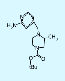 C[C@@H]1CN(C(=O)OC(C)(C)C)CCN1Cc1ccnc(N)c1